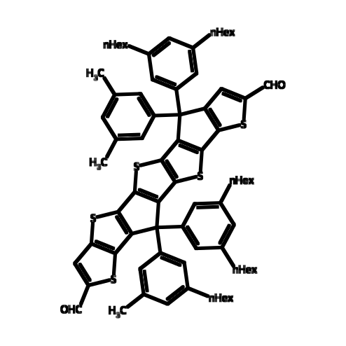 CCCCCCc1cc(CCCCCC)cc(C2(c3cc(C)cc(C)c3)c3cc(C=O)sc3-c3sc4c5c(sc4c32)-c2sc3cc(C=O)sc3c2C5(c2cc(C)cc(CCCCCC)c2)c2cc(CCCCCC)cc(CCCCCC)c2)c1